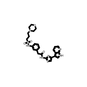 O=C(Cc1cccc(NS(=O)(=O)CCCN2CCOCC2)c1)Nc1nc(-c2c[nH]c3ncccc23)cs1